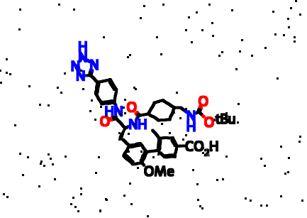 COc1ccc(C[C@H](NC(=O)C2CCC(CNC(=O)OC(C)(C)C)CC2)C(=O)Nc2ccc(-c3nn[nH]n3)cc2)cc1-c1ccc(C(=O)O)cc1C